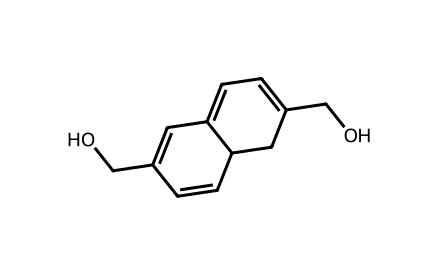 OCC1=CC2=CC=C(CO)CC2C=C1